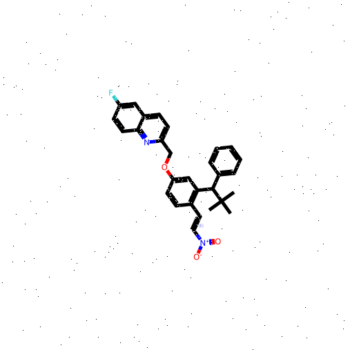 CC(C)(C)C(c1ccccc1)c1cc(OCc2ccc3cc(F)ccc3n2)ccc1/C=C/[N+](=O)[O-]